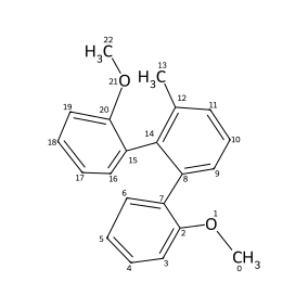 COc1ccccc1-c1cccc(C)c1-c1ccccc1OC